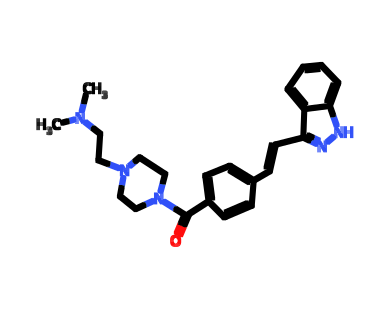 CN(C)CCN1CCN(C(=O)c2ccc(/C=C/c3n[nH]c4ccccc34)cc2)CC1